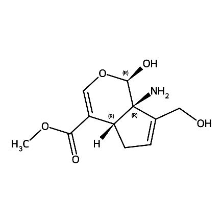 COC(=O)C1=CO[C@@H](O)[C@]2(N)C(CO)=CC[C@H]12